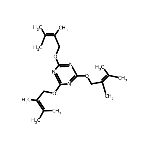 CC(C)=C(C)COc1nc(OCC(C)=C(C)C)nc(OCC(C)=C(C)C)n1